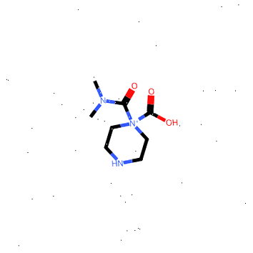 CN(C)C(=O)[N+]1(C(=O)O)CCNCC1